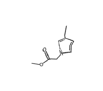 COC(=O)Cn1ccc(C)c1